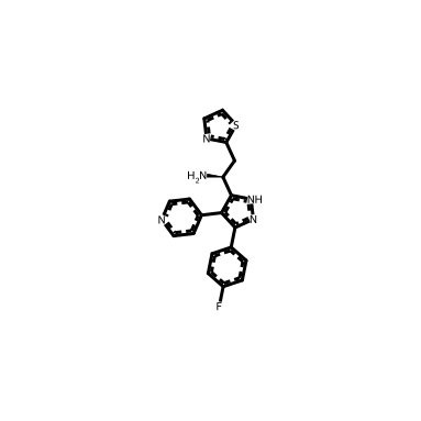 N[C@@H](Cc1nccs1)c1[nH]nc(-c2ccc(F)cc2)c1-c1ccncc1